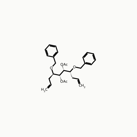 C=CC[C@@H](OCc1ccccc1)[C@@H](OC(C)=O)[C@H](OC(C)=O)[C@@H](CC=C)OCc1ccccc1